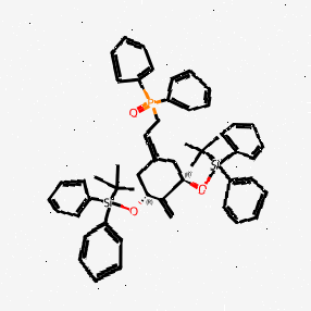 C=C1[C@H](O[Si](c2ccccc2)(c2ccccc2)C(C)(C)C)CC(=CCP(=O)(c2ccccc2)c2ccccc2)C[C@H]1O[Si](c1ccccc1)(c1ccccc1)C(C)(C)C